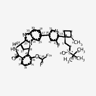 C[C@@H]1CC[C@@]1(CC[S@@+]([O-])C(C)(C)C)c1ncc(-c2ccc3nc4n(c3c2)C2C[C@H]4NC(=O)c3cccc(OC(F)F)c32)cc1F